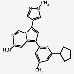 Cc1cc(-c2cc(-c3cnn(C)c3)n3cnc(N)cc23)nc(C2CCCC2)c1